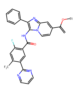 C=C(OCC)c1ccn2c(NC(=O)c3cc(-c4ncccn4)c(C(F)(F)F)cc3F)c(-c3ccccc3)nc2c1